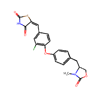 CN1C(=O)OCC1Cc1ccc(Oc2ccc(/C=C3/SC(=O)NC3=O)cc2F)cc1